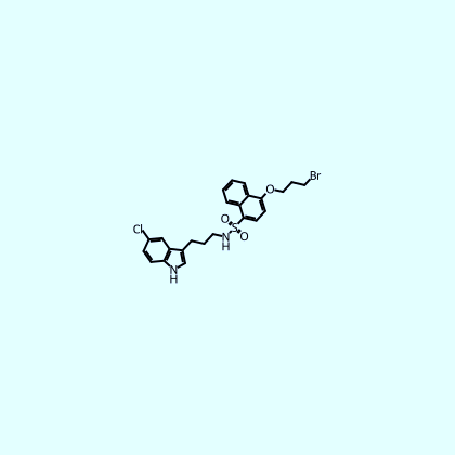 O=S(=O)(NCCCc1c[nH]c2ccc(Cl)cc12)c1ccc(OCCCBr)c2ccccc12